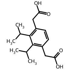 CC(C)c1c(CC(=O)O)ccc(CC(=O)O)c1C(C)C